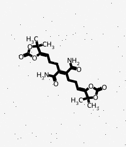 CC1(C)OC(=O)OC1=CCC/C(C(N)=O)=C(/CCC=C1OC(=O)OC1(C)C)C(N)=O